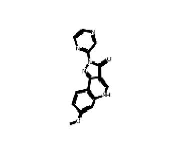 COc1ccc2c3nn(-c4cnccn4)c(=O)c-3c[nH]c2c1